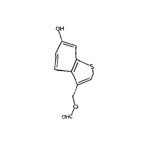 O=COCc1csc2cc(O)ccc12